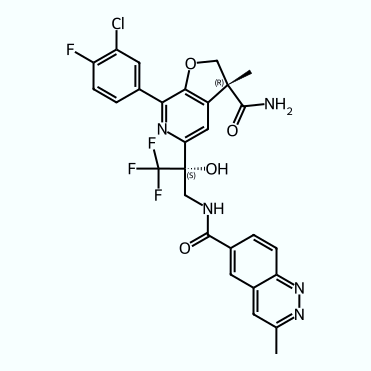 Cc1cc2cc(C(=O)NC[C@](O)(c3cc4c(c(-c5ccc(F)c(Cl)c5)n3)OC[C@]4(C)C(N)=O)C(F)(F)F)ccc2nn1